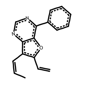 C=Cc1oc2c(-c3ccccc3)ncnc2c1/C=C\C